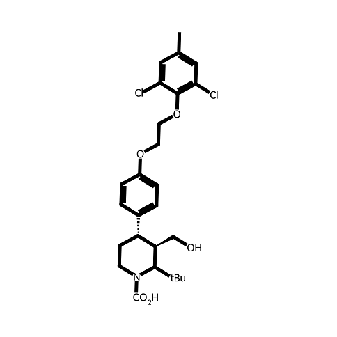 Cc1cc(Cl)c(OCCOc2ccc([C@H]3CCN(C(=O)O)C(C(C)(C)C)[C@@H]3CO)cc2)c(Cl)c1